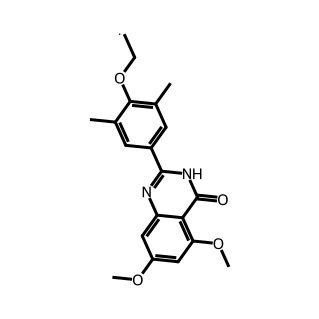 [CH2]COc1c(C)cc(-c2nc3cc(OC)cc(OC)c3c(=O)[nH]2)cc1C